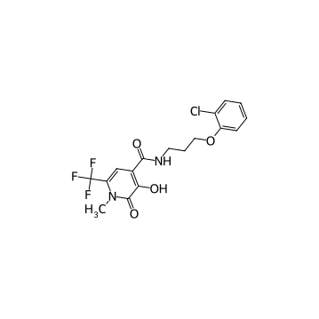 Cn1c(C(F)(F)F)cc(C(=O)NCCCOc2ccccc2Cl)c(O)c1=O